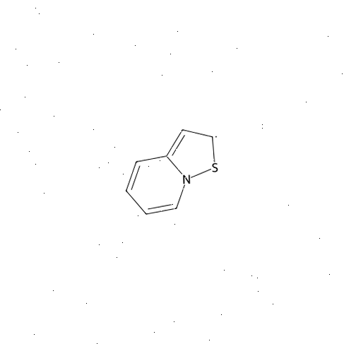 [CH]1C=C2C=CC=CN2S1